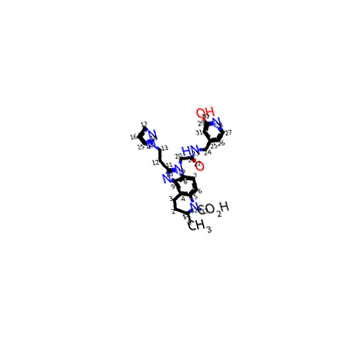 C[C@H]1CCc2c(ccc3c2nc(CCn2cccn2)n3CC(=O)NCc2ccnc(O)c2)N1C(=O)O